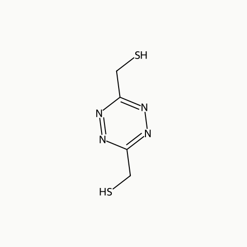 SCc1nnc(CS)nn1